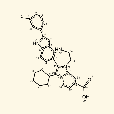 Cc1ccnc(-c2cc3c4c(ccc3[nH]2)-c2c(C3CCCCC3)c3ccc(C(=O)O)cc3n2CCN4)c1